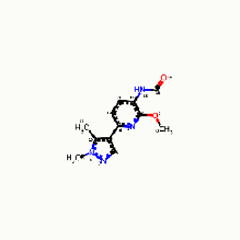 COc1nc(-c2cnn(C)c2C)ccc1NC=O